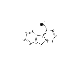 CCC(C)c1cccc2c1-c1ccc[c]c1C2